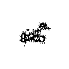 C#Cc1c(F)ccc2cccc(-c3nc4c5c(nc(OC[C@@]67CCCN6C[C@H](F)C7)nc5c3F)N3CCCCCC3CO4)c12